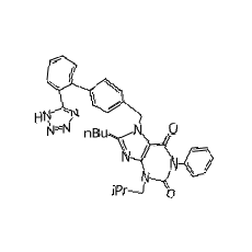 CCCCc1nc2c(c(=O)n(-c3ccccc3)c(=O)n2CC(C)C)n1Cc1ccc(-c2ccccc2-c2nnn[nH]2)cc1